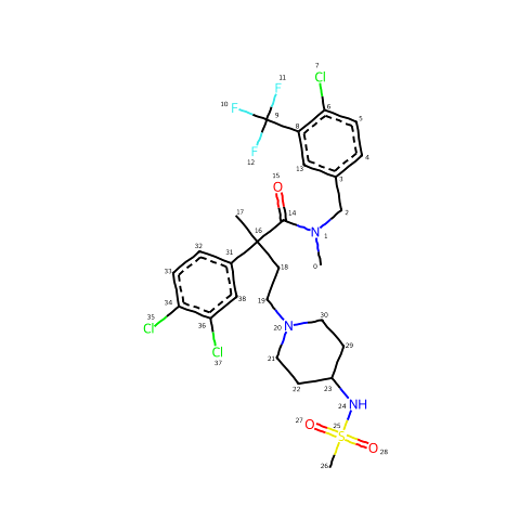 CN(Cc1ccc(Cl)c(C(F)(F)F)c1)C(=O)C(C)(CCN1CCC(NS(C)(=O)=O)CC1)c1ccc(Cl)c(Cl)c1